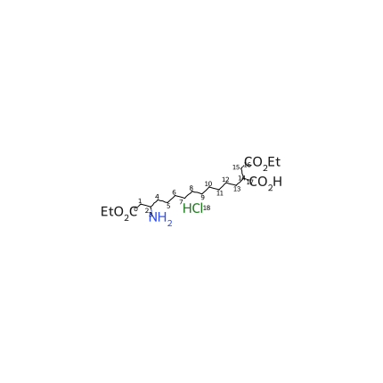 CCOC(=O)CC(N)CCCCCCCCCCC(CC(=O)OCC)C(=O)O.Cl